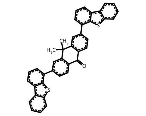 CC1(C)c2cc(-c3cccc4c3sc3ccccc34)ccc2C(=O)c2ccc(-c3cccc4c3sc3ccccc34)cc21